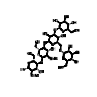 CC(=O)N[C@@H]1[C@@H](O)[C@H](O[C@@H]2O[C@H](CO)[C@@H](O[C@@H]3O[C@H](CO[C@H]4O[C@H](CO)[C@@H](O)[C@H](O)[C@@H]4O)[C@@H](O)[C@H](O[C@H]4O[C@H](CO)[C@@H](O)[C@H](O)[C@@H]4O)[C@@H]3O)[C@H](O)[C@H]2NC(C)=O)[C@@H](CO)O[C@H]1S